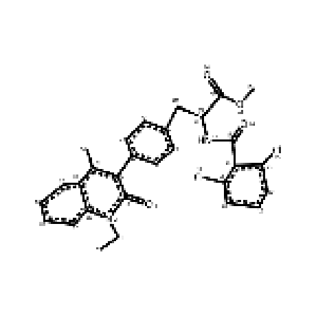 CCn1c(=O)c(-c2ccc(C[C@H](NC(=O)c3c(Cl)cccc3Cl)C(=O)OC)cc2)c(C)c2ccccc21